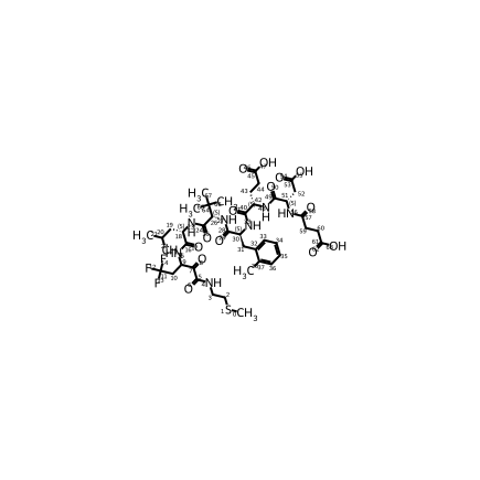 CSCCNC(=O)C(=O)C(CC(F)(F)F)NC(=O)[C@H](CC(C)C)NC(=O)[C@@H](NC(=O)[C@H](Cc1ccccc1C)NC(=O)[C@H](CCC(=O)O)NC(=O)[C@H](CC(=O)O)NC(=O)CCC(=O)O)C(C)(C)C